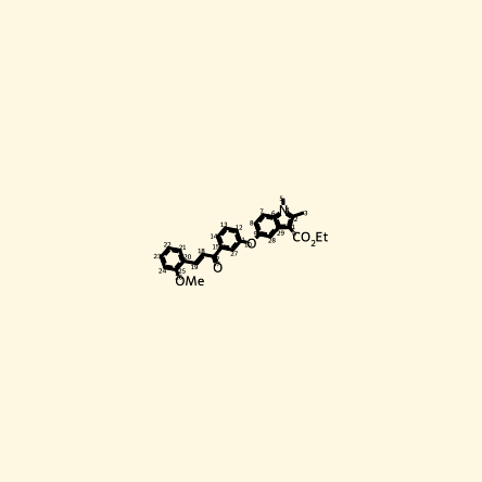 CCOC(=O)c1c(C)n(C)c2ccc(Oc3cccc(C(=O)C=Cc4ccccc4OC)c3)cc12